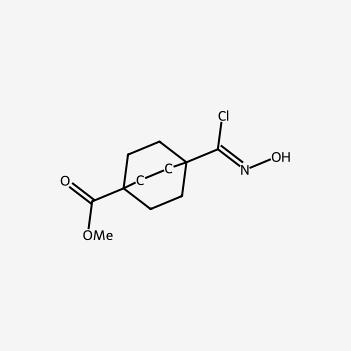 COC(=O)C12CCC(C(Cl)=NO)(CC1)CC2